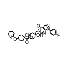 CC1(C(=O)N2CCC(O)(Cn3cnc4c(cnn4-c4ccc(F)cc4)c3=O)CC2)CCC(Oc2ccccn2)CC1